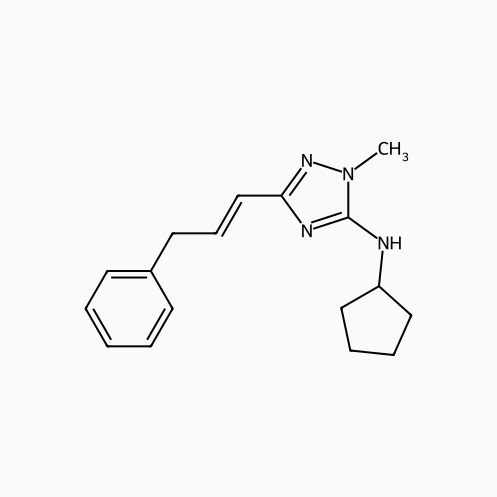 Cn1nc(/C=C/Cc2ccccc2)nc1NC1CCCC1